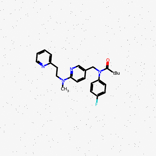 CN(CCc1ccccn1)c1ccc(CN(C(=O)C(C)(C)C)c2ccc(F)cc2)cn1